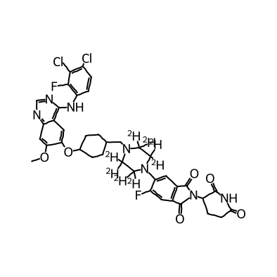 [2H]C1([2H])N(CC2CCC(Oc3cc4c(Nc5ccc(Cl)c(Cl)c5F)ncnc4cc3OC)CC2)C([2H])([2H])C([2H])([2H])N(c2cc3c(cc2F)C(=O)N(C2CCC(=O)NC2=O)C3=O)C1([2H])[2H]